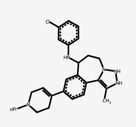 CCCN1CC=C(c2ccc3c(c2)C(Nc2cccc(Cl)c2)CCN2NNC(C)=C32)CC1